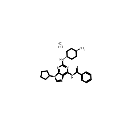 Cl.Cl.N[C@H]1CC[C@H](Nc2nc(NC(=O)c3ccccc3)c3ncn(C4CCCC4)c3n2)CC1